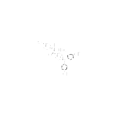 CC(=O)N1CCC(NC(=O)N2CCN(C(c3ccc(C(F)(F)F)cc3)c3ccc(C(F)(F)F)cc3)C[C@@H]2C(C)(C)C)CC1